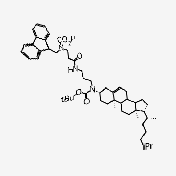 CC(C)CCC[C@@H](C)[C@H]1CCC2C3CC=C4C[C@@H](N(CCCNC(=O)CCN(CC5c6ccccc6-c6ccccc65)C(=O)O)C(=O)OC(C)(C)C)CC[C@]4(C)C3CC[C@@]21C